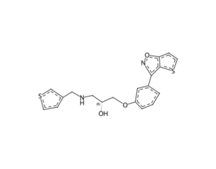 O[C@H](CNCc1ccsc1)COc1cccc(-c2noc3ccsc23)c1